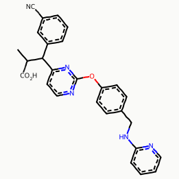 CC(C(=O)O)C(c1cccc(C#N)c1)c1ccnc(Oc2ccc(CNc3ccccn3)cc2)n1